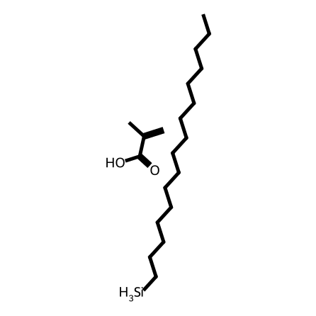 C=C(C)C(=O)O.CCCCCCCCCCCCCCCC[SiH3]